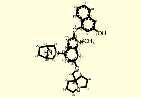 Cn1c(Oc2cc(O)cc3ccccc23)nc2c(N3CC4CCC(C3)N4)nc(OCC34CCCN3CCC4)nc21